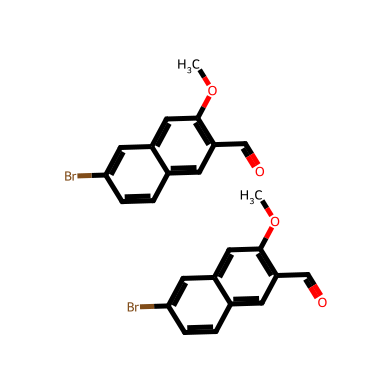 COc1cc2cc(Br)ccc2cc1C=O.COc1cc2cc(Br)ccc2cc1C=O